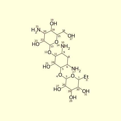 CCC1OC(OC2C(N)CC(N)C(OC3OC(CO)C(O)C(N)C3O)C2O)C(O)C(O)C1O